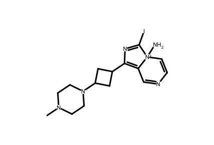 CN1CCN(C2CC(C3=C4C=NC=C[N+]4(N)C(I)=N3)C2)CC1